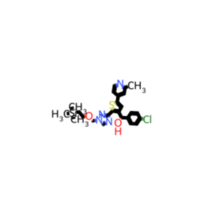 Cc1cc(-c2cc(C(O)c3ccc(Cl)cc3)c(-c3ncn(COCC[Si](C)(C)C)n3)s2)ccn1